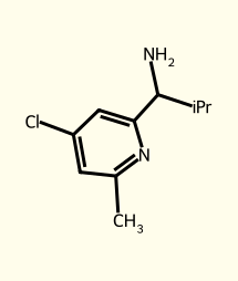 Cc1cc(Cl)cc(C(N)C(C)C)n1